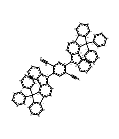 N#Cc1cc(-n2c3ccccc3c3c4c(ccc32)-c2ccccc2C4(c2ccccc2)c2ccccc2)c(C#N)cc1-n1c2ccccc2c2c3c(ccc21)-c1ccccc1C3(c1ccccc1)c1ccccc1